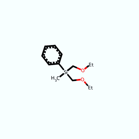 CCOC[Si](C)(COCC)c1ccccc1